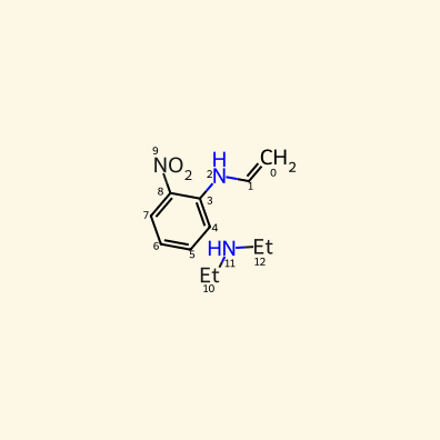 C=CNc1ccccc1[N+](=O)[O-].CCNCC